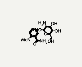 CNc1ccccc1C(N)=O.N[C@@H]1[C@@H](O)[C@H](O)[C@@H](CO)O[C@H]1O